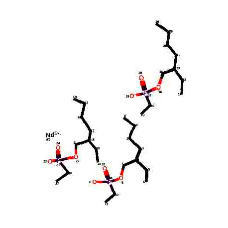 CCCCC(CC)COP(=O)([O-])CC.CCCCC(CC)COP(=O)([O-])CC.CCCCC(CC)COP(=O)([O-])CC.[Nd+3]